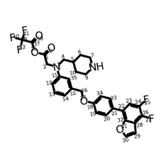 O=C(CN(CC1CCNCC1)c1cccc(COc2ccc(-c3cc(F)c(F)c4ccoc34)cc2)c1)OC(=O)C(F)(F)F